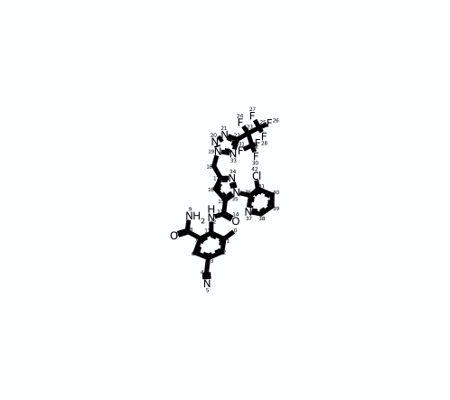 Cc1cc(C#N)cc(C(N)=O)c1NC(=O)c1cc(Cn2nnc(C(F)(C(F)(F)F)C(F)(F)F)n2)nn1-c1ncccc1Cl